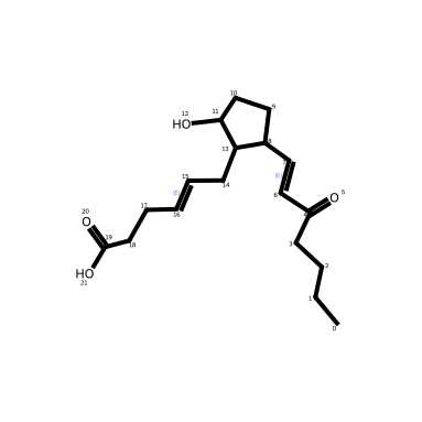 CCCCC(=O)/C=C/C1CCC(O)C1C/C=C/CCC(=O)O